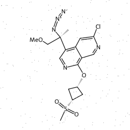 COC[C@@](C)(N=[N+]=[N-])c1cnc(O[C@H]2C[C@@H](S(C)(=O)=O)C2)c2cnc(Cl)cc12